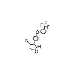 N#CC1=C(c2ccc(Oc3cccc(C(F)(F)F)c3)cc2)NC(=O)CC1